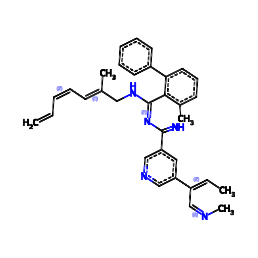 C=C/C=C\C=C(/C)CN/C(=N/C(=N)c1cncc(C(/C=N\C)=C/C)c1)c1c(C)cccc1-c1ccccc1